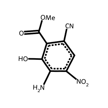 COC(=O)c1c(C#N)cc([N+](=O)[O-])c(N)c1O